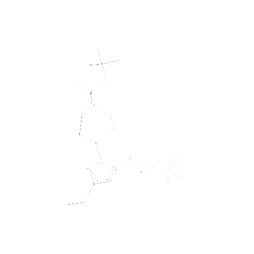 CCc1cn(CCOS(C)(=O)=O)c(C2CCN(C(=O)OC(C)(C)C)CC2)n1